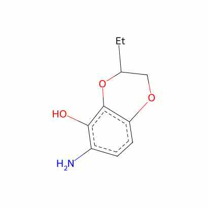 CCC1COc2ccc(N)c(O)c2O1